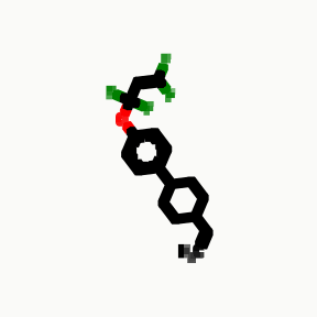 C=CC1CCC(c2ccc(OC(F)(F)C=C(F)F)cc2)CC1